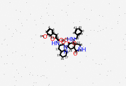 COc1cccc2cc(C(=O)NC(CC3CCCCC3)C(=O)NC(CC3CCCNC3=O)C(=O)C(=O)NCc3ccccc3)oc12